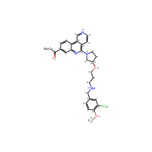 COC(=O)c1ccc2c(c1)nc(N1CC[C@@H](OCCCNCc3ccc(OC(F)(F)F)c(Cl)c3)C1)c1ccncc12